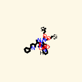 COCc1c(C2CC3CC[C@H](C2)N3C(=O)OC(C)(C)C)nc2c(-c3ccc(-c4ccccc4)nc3)cnn2c1N(COCC[Si](C)(C)C)COCC[Si](C)(C)C